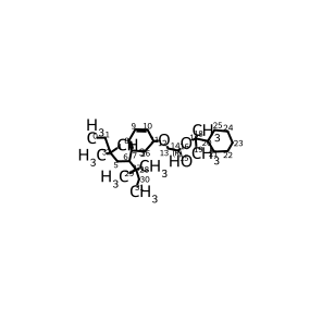 CCC(C)(C)CC(C1=CC=CC(OC[C@H](O)OC(C)(C)C2CCCCC2)C1)C(C)(C)CC